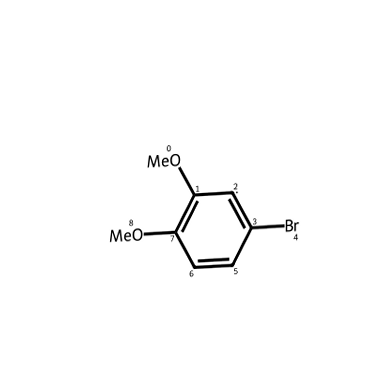 COc1[c]c(Br)ccc1OC